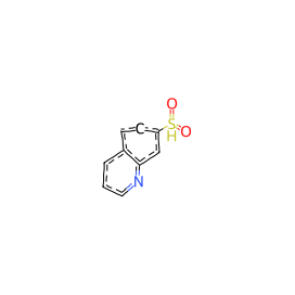 O=[SH](=O)c1ccc2cccnc2c1